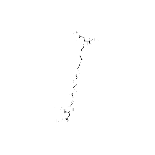 CC(C)(C)OC(=O)CC(NCCOCCOCCOCCOCCOCCOCCNC(CC(=O)OC(C)(C)C)C(=O)OC(C)(C)C)C(=O)OC(C)(C)C